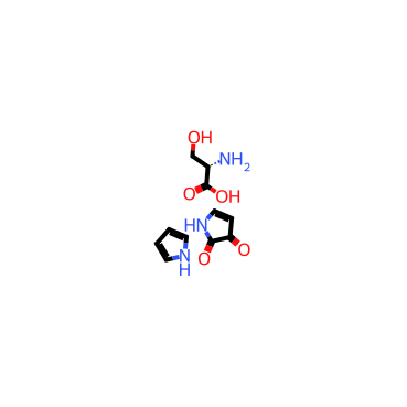 N[C@@H](CO)C(=O)O.O=C1C=CNC1=O.c1cc[nH]c1